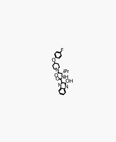 CC(C)[C@H](NC(=O)c1nc2ccccc2nc1O)C(=O)N1CCC(Oc2ccc(F)cc2)CC1